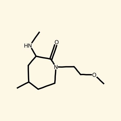 CNC1CC(C)CCN(CCOC)C1=O